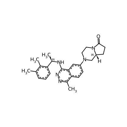 Cc1cccc([C@@H](C)Nc2nnc(C)c3ccc(N4CCN5C(=O)CC[C@@H]5C4)cc23)c1C